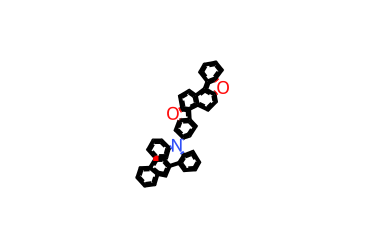 c1ccc(N(c2ccc3c(c2)oc2ccc4c(ccc5oc6ccccc6c54)c23)c2ccccc2-c2ccc3ccccc3c2)cc1